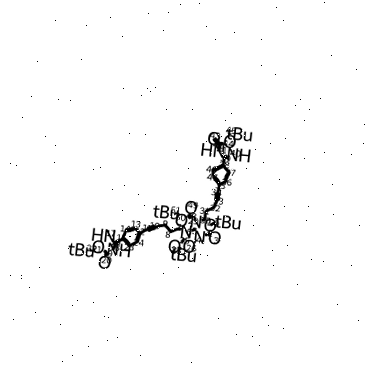 CC(C)(C)OC(=O)N=C(N(CCCC#Cc1ccc(C(=N)NC(=O)OC(C)(C)C)cc1)C(=O)OC(C)(C)C)N(CCCC#Cc1ccc(C(=N)NC(=O)OC(C)(C)C)cc1)C(=O)OC(C)(C)C